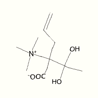 C=CCC(C(=O)[O-])(C(C)(O)O)[N+](C)(C)C